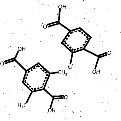 Cc1cc(C(=O)O)cc(C)c1C(=O)O.O=C(O)c1ccc(C(=O)O)c(Cl)c1